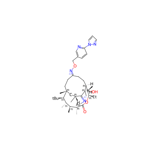 CC[C@H]1OC(=O)[C@H](C)[C@@H](C)[C@H](C)[C@@H](C(C)(C)C)[C@]2(C)CC/C(=N/OCc3ccc(-n4cccn4)nc3)CC[C@H]([C@@H](C)/C(=N/C(C)=O)[C@H](C)C2)[C@]1(C)O